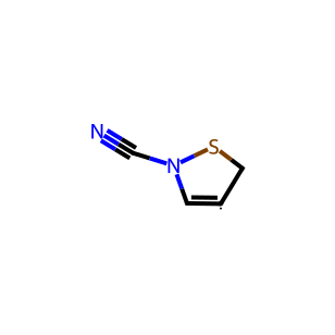 N#CN1C=[C]CS1